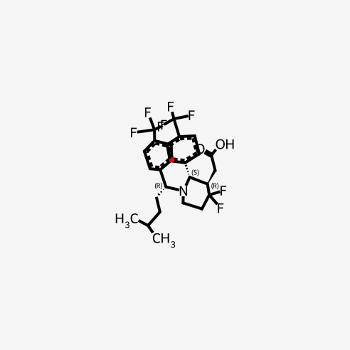 CC(C)CC[C@H](c1ccc(C(F)(F)F)cc1)N1CCC(F)(F)[C@H](CC(=O)O)[C@H]1c1ccc(C(F)(F)F)cc1